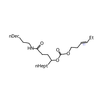 CC/C=C/CCOC(=O)OC(CCCCCCC)CCC(=O)NCCCCCCCCCCCC